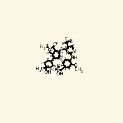 COc1cc(CP(=O)(O)O)ccc1Nc1ncc(C(F)(F)F)c(Nc2ccc(C3CCC(C)(O)CC3)c3c2C(=O)N(C)C3)n1